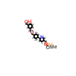 COPOCc1ccc(-c2ccc(COCc3cccc(CO)c3)cc2)nc1